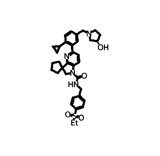 CCS(=O)(=O)c1ccc(CNC(=O)N2CC3(CCCC3)c3nc(-c4cc(CN5CC[C@@H](O)C5)ccc4C4CC4)ccc32)cc1